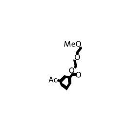 COCCOCCOC(=O)c1cccc(C(C)=O)c1